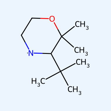 CC(C)(C)C1[N]CCOC1(C)C